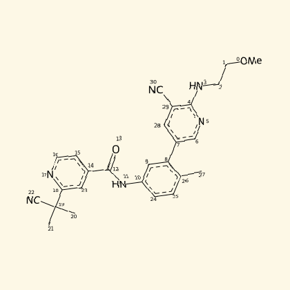 COCCNc1ncc(-c2cc(NC(=O)c3ccnc(C(C)(C)C#N)c3)ccc2C)cc1C#N